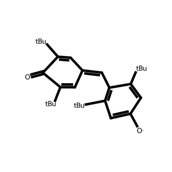 CC(C)(C)C1=CC(=Cc2c(C(C)(C)C)cc([O])cc2C(C)(C)C)C=C(C(C)(C)C)C1=O